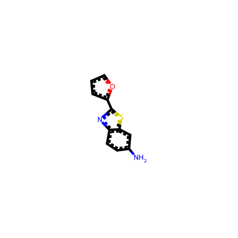 Nc1ccc2nc(-c3ccco3)sc2c1